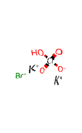 [Br-].[K+].[K+].[O]=[Cr](=[O])([O-])[OH]